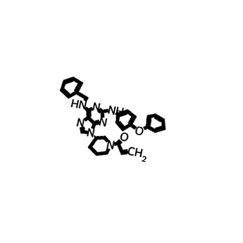 C=CC(=O)N1CCC[C@H](n2cnc3c(NCc4ccccc4)nc(Nc4ccc(Oc5ccccc5)cc4)nc32)C1